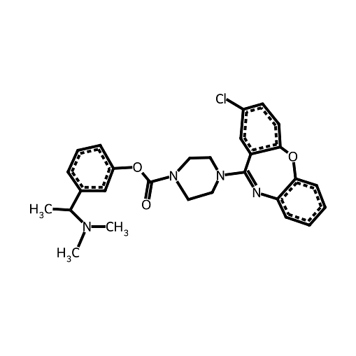 CC(c1cccc(OC(=O)N2CCN(C3=Nc4ccccc4Oc4ccc(Cl)cc43)CC2)c1)N(C)C